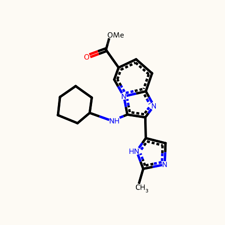 COC(=O)c1ccc2nc(-c3cnc(C)[nH]3)c(NC3CCCCC3)n2c1